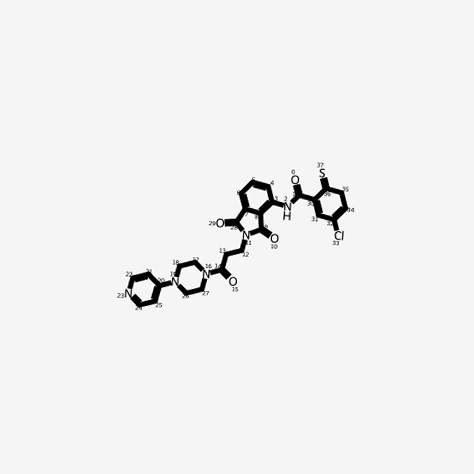 O=C(Nc1cccc2c1C(=O)N(CCC(=O)N1CCN(c3ccncc3)CC1)C2=O)C1=CC(Cl)=CCC1=S